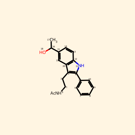 CC(=O)NCCc1c(-c2ccccc2)[nH]c2ccc(C(C)O)cc12